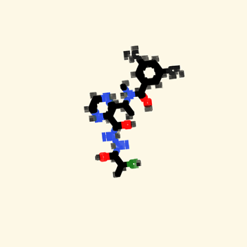 CC(Cl)C(=O)NNC(=O)c1nccnc1C(C)N(C)C(=O)c1cc(C(F)(F)F)cc(C(F)(F)F)c1